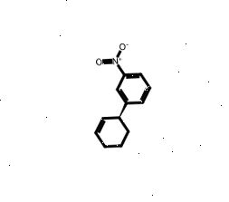 O=[N+]([O-])c1cccc([C@@H]2C=CCCC2)c1